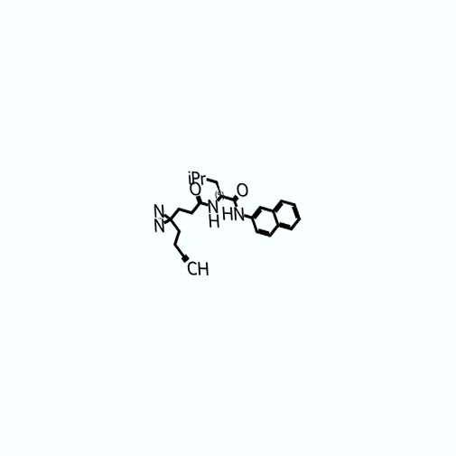 C#CCCC1(CCC(=O)N[C@@H](CC(C)C)C(=O)Nc2ccc3ccccc3c2)N=N1